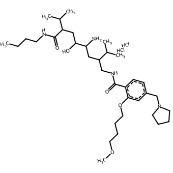 CCCCNC(=O)C(CC(O)C(N)CC(CNC(=O)c1ccc(CN2CCCC2)cc1OCCCCOC)C(C)C)C(C)C.Cl.Cl